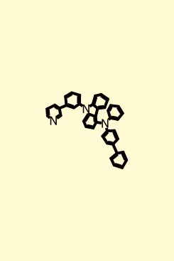 c1ccc(-c2ccc(N(c3ccccc3)c3cccc4c3c3ccccc3n4-c3cccc(-c4cccnc4)c3)cc2)cc1